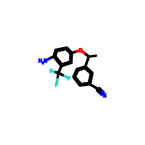 CC(Oc1ccc(N)c(C(F)(F)F)c1)c1cccc(C#N)c1